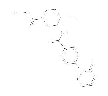 CC(C)(C)OC(=O)N1CC[C@H](N)[C@H](NC(=O)c2ccc(-n3ccccc3=O)cc2)C1